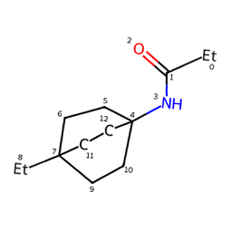 CCC(=O)NC12CCC(CC)(CC1)CC2